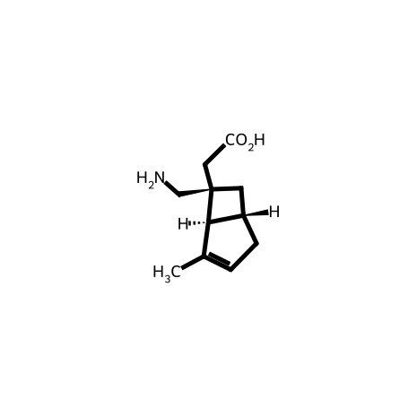 CC1=CC[C@H]2C[C@@](CN)(CC(=O)O)[C@H]12